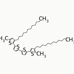 CCCCCCCCCCCCc1cc(-c2ccc(-c3ccc(-c4sc(C)cc4CCCCCCCCCCCC)s3)s2)sc1C